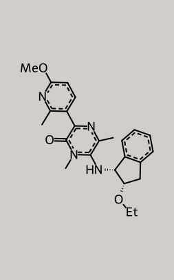 CCO[C@H]1Cc2ccccc2[C@H]1Nc1c(C)nc(-c2ccc(OC)nc2C)c(=O)n1C